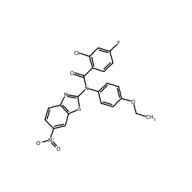 CCOc1ccc(N(C(=O)c2ccc(F)cc2Cl)c2nc3ccc([N+](=O)[O-])cc3s2)cc1